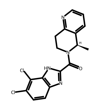 C[C@@H]1c2cccnc2CCN1C(=O)c1nc2ccc(Cl)c(Cl)c2[nH]1